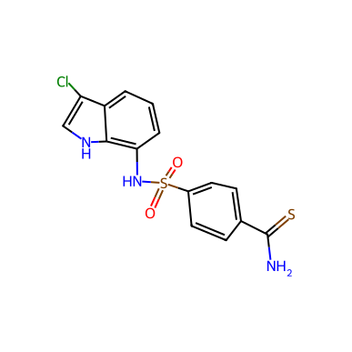 NC(=S)c1ccc(S(=O)(=O)Nc2cccc3c(Cl)c[nH]c23)cc1